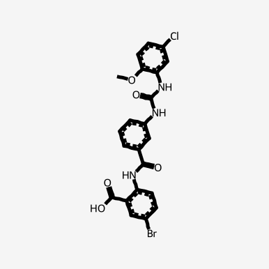 COc1ccc(Cl)cc1NC(=O)Nc1cccc(C(=O)Nc2ccc(Br)cc2C(=O)O)c1